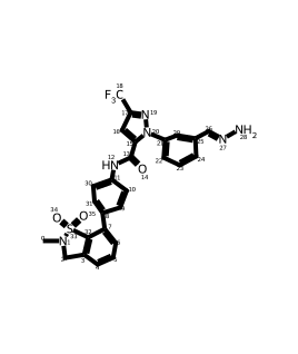 CN1Cc2cccc(-c3ccc(NC(=O)c4cc(C(F)(F)F)nn4-c4cccc(C=NN)c4)cc3)c2S1(=O)=O